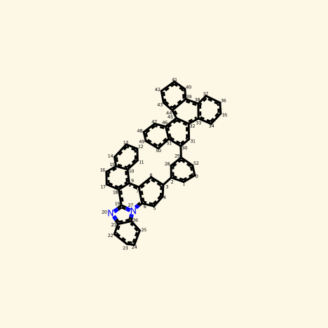 c1cc(-c2ccc3c(c2)c2c4ccccc4ccc2c2nc4ccccc4n32)cc(-c2cc3c4ccccc4c4ccccc4c3c3ccccc23)c1